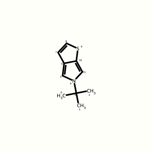 CC(C)(C)n1cc2ccsc2c1